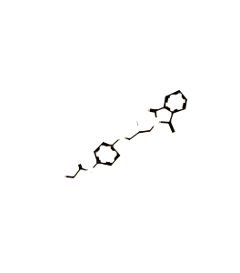 O=C(CO)Nc1ccc(NC[C@@H](O)CN2C(=O)c3ccccc3C2=O)cc1